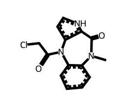 CN1C(=O)c2[nH]ccc2N(C(=O)CCl)c2ccccc21